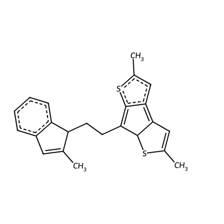 CC1=CC2=c3cc(C)sc3=C(CCC3C(C)=Cc4ccccc43)C2S1